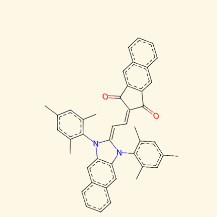 Cc1cc(C)c(N2C(=CC=C3C(=O)c4cc5ccccc5cc4C3=O)N(c3c(C)cc(C)cc3C)c3cc4ccccc4cc32)c(C)c1